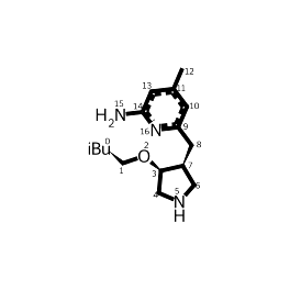 CC[C@H](C)CO[C@@H]1CNC[C@@H]1Cc1cc(C)cc(N)n1